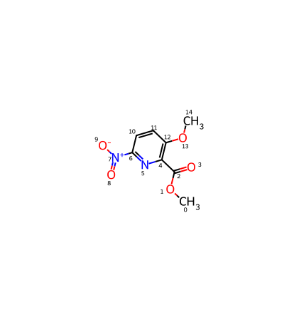 COC(=O)c1nc([N+](=O)[O-])ccc1OC